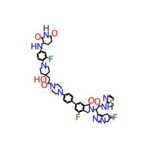 O=C1CCC(Nc2ccc(N3CCC(O)(CC(=O)N4CCN(c5ccc(-c6cc(F)c7c(c6)C(=O)N(C(C(=O)Nc6nccs6)c6ncn8c6C[C@@H](F)C8)C7)cc5)CC4)CC3)c(F)c2)C(=O)N1